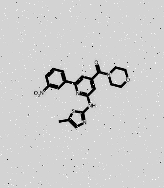 Cc1cnc(Nc2cc(C(=O)N3CCOCC3)cc(-c3cccc([N+](=O)[O-])c3)n2)s1